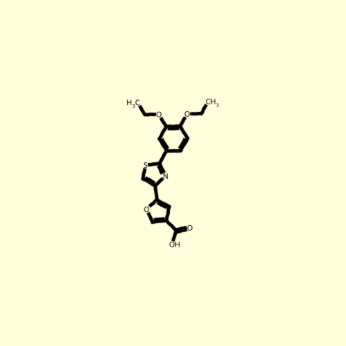 CCOc1ccc(-c2nc(-c3cc(C(=O)O)co3)cs2)cc1OCC